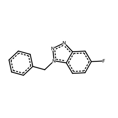 Fc1ccc2c(c1)nnn2Cc1ccccc1